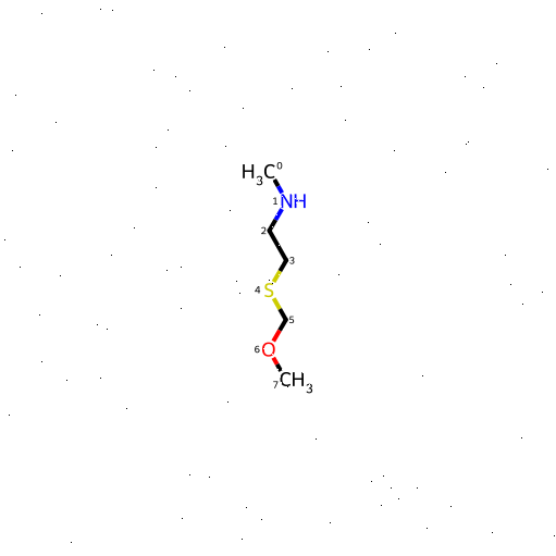 CNCCSCOC